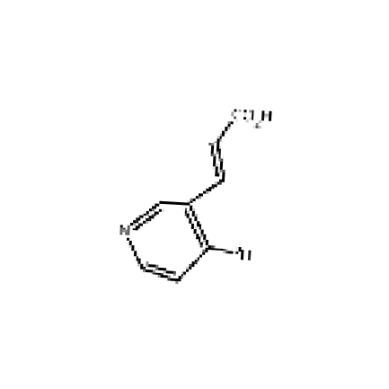 [2H]c1ccncc1/C=C/C(=O)O